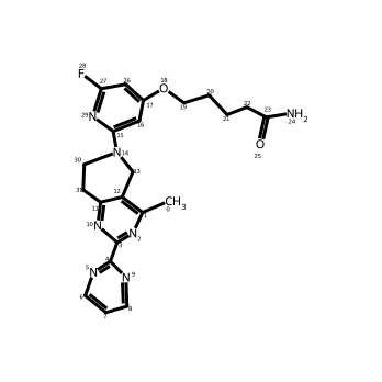 Cc1nc(-c2ncccn2)nc2c1CN(c1cc(OCCCCC(N)=O)cc(F)n1)CC2